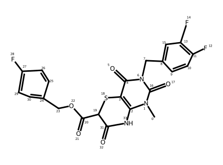 Cn1c2c(c(=O)n(Cc3ccc(F)c(F)c3)c1=O)SC(C(=O)OCc1ccc(F)cc1)C(=O)N2